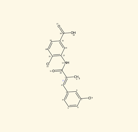 C/C(=C\c1cccc(Cl)c1)C(=O)Nc1cc(C(=O)O)ccc1Cl